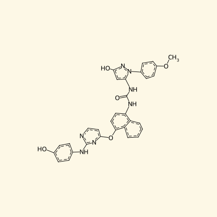 COc1ccc(-n2nc(O)cc2NC(=O)Nc2ccc(Oc3ccnc(Nc4ccc(O)cc4)n3)c3ccccc23)cc1